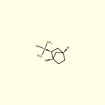 C[Si](C)(Cl)[C@H]1C[C@@H]2CC[C@H]1C2